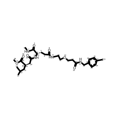 CNC(=O)[C@H](CCC(=O)NCCOCCC(=O)NCc1ccc(I)cc1)NC(=O)C[C@@H](CC(C)C)C(=O)OC